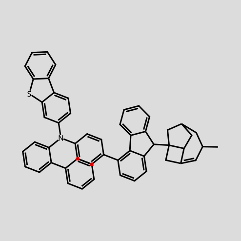 CC1C=C2CC3(C4c5ccccc5-c5c(-c6ccc(N(c7ccc8c(c7)sc7ccccc78)c7ccccc7-c7ccccc7)cc6)cccc54)CC(C1)CC23